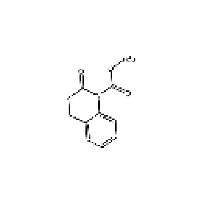 CCCCOC(=O)N1C(=O)CCc2ccccc21